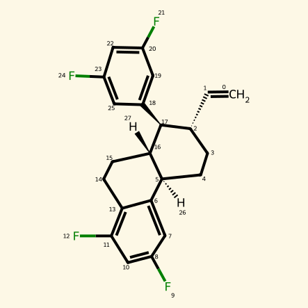 C=C[C@@H]1CC[C@H]2c3cc(F)cc(F)c3CC[C@@H]2[C@H]1c1cc(F)cc(F)c1